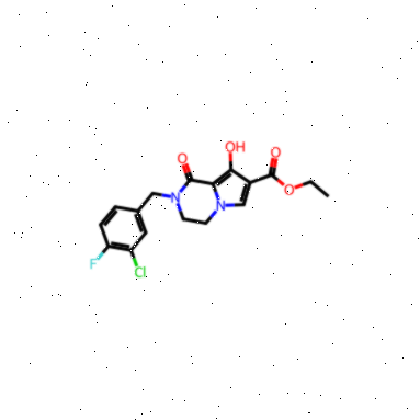 CCOC(=O)c1cn2c(c1O)C(=O)N(Cc1ccc(F)c(Cl)c1)CC2